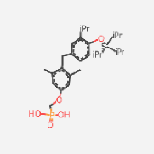 Cc1cc(OCP(=O)(O)O)cc(C)c1Cc1ccc(O[Si](C(C)C)(C(C)C)C(C)C)c(C(C)C)c1